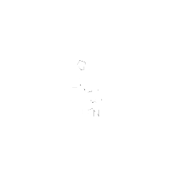 O=C(C[C@@H](O)C(=O)N1CCCC1)NCCc1ccco1